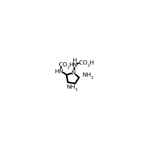 N.N.O=C(O)NC1CCCN1NC(=O)O